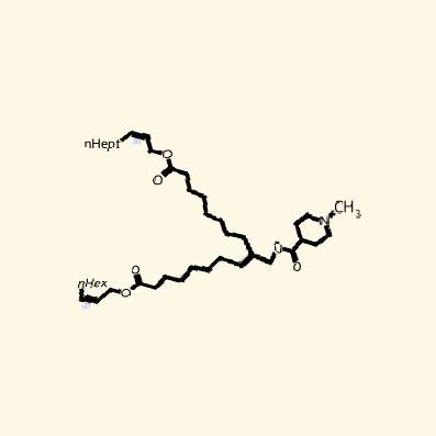 CCCCCC/C=C\COC(=O)CCCCCCCC(CCCCCCCC(=O)OC/C=C\CCCCCCC)COC(=O)C1CCN(C)CC1